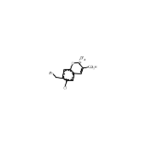 CC(C)Cc1cc2c(cc1Cl)C=C(C(=O)O)[C@@H](C(F)(F)F)O2